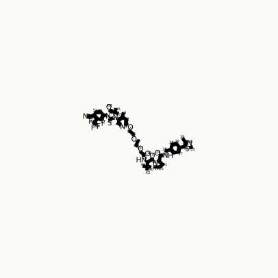 Cc1cc(OCCOCCOCC(=O)N[C@H](C(=O)N2CCCC2C(=O)NCc2ccc(-c3scnc3C)cc2)C(C)(C)C)ncc1N1C(=S)N(c2ccc(C#N)c(C(F)(F)F)c2F)C(=O)C1(C)C